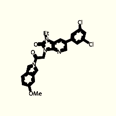 CCn1c(=O)n(CC(=O)n2cc3ccc(OC)cc3c2)c2ncc(-c3cc(Cl)cc(Cl)c3)cc21